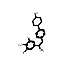 CCCC1CCC(c2ccc(C=C(C)c3cc(F)c(C(F)(F)F)c(F)c3)cc2)CC1